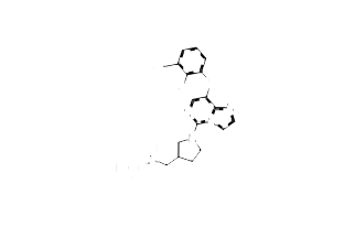 O=C(O)NCC1CCN(c2ncc(Sc3cccc(Cl)c3Cl)c3nccn23)C1